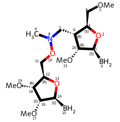 B[C@@H]1O[C@H](COC)[C@@H](CN(C)OC[C@H]2O[C@@H](B)[C@H](OC)[C@@H]2OC)[C@H]1OC